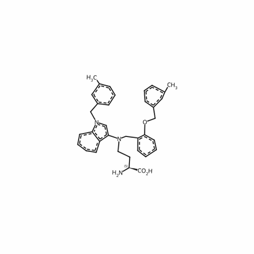 Cc1cccc(COc2ccccc2CN(CC[C@H](N)C(=O)O)c2cn(Cc3cccc(C)c3)c3ccccc23)c1